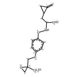 C=C1CC1CC(C=O)NOc1ccc(OCC2(C(=O)OCC)CO2)cc1